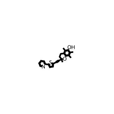 Cc1c(C)c2c(c(C)c1O)CCC(C)(C#Cc1ccc(-c3ccccn3)s1)O2